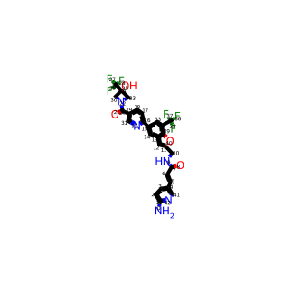 Nc1ccc(/C=C/C(=O)NCc2cc3cc(-c4ccc(C(=O)N5CC(O)(C(F)(F)F)C5)cn4)cc(C(F)(F)F)c3o2)cn1